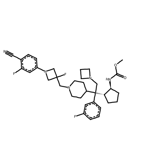 COC(=O)N[C@H]1CCC[C@@H]1C(CN1CCC1)(c1cccc(F)c1)C1CCN(CC2(F)CN(c3ccc(C#N)c(F)c3)C2)CC1